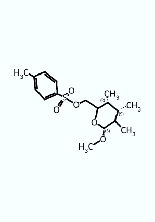 CO[C@H]1OC(COS(=O)(=O)c2ccc(C)cc2)[C@H](C)[C@H](C)C1C